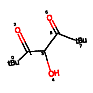 CC(C)(C)C(=O)C(O)C(=O)C(C)(C)C